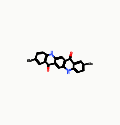 CC(C)(C)c1ccc2[nH]c3cc4c(=O)c5cc(C(C)(C)C)ccc5[nH]c4cc3c(=O)c2c1